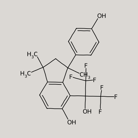 CC1(C)CC(C)(c2ccc(O)cc2)c2c1ccc(O)c2C(O)(C(F)(F)F)C(F)(F)F